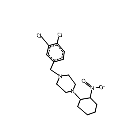 O=[N+]([O-])C1CCCCC1N1CCN(Cc2ccc(Cl)c(Cl)c2)CC1